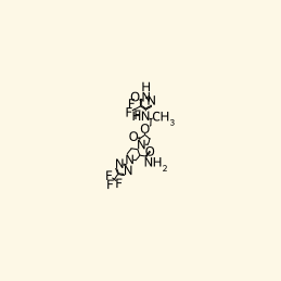 CC(COC1CCN(C2CCN(c3ncc(C(F)(F)F)cn3)CC2C(N)=O)C1=O)Nc1cn[nH]c(=O)c1C(F)(F)F